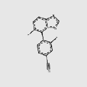 N#Cc1ccc(-c2c(F)ccc3ncnn23)c(F)c1